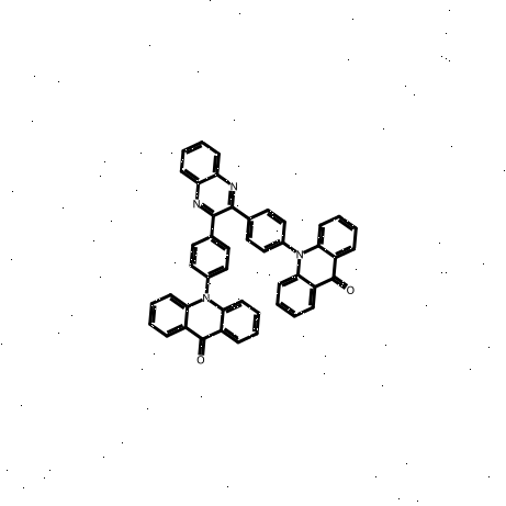 O=c1c2ccccc2n(-c2ccc(-c3nc4ccccc4nc3-c3ccc(-n4c5ccccc5c(=O)c5ccccc54)cc3)cc2)c2ccccc12